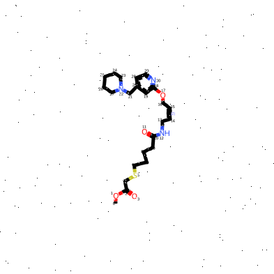 COC(=O)CSCCCCC(=O)NC/C=C\COc1cc(CN2CCCCC2)ccn1